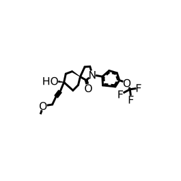 COCC#C[C@]1(O)CC[C@]2(CCN(c3ccc(OC(F)(F)F)cc3)C2=O)CC1